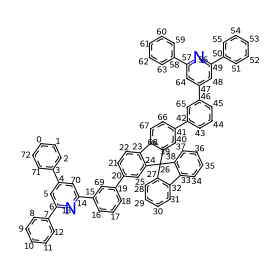 c1ccc(-c2cc(-c3ccccc3)nc(-c3cccc(-c4ccc5c(c4)C4(c6ccccc6-c6ccccc64)c4cc(-c6cccc(-c7cc(-c8ccccc8)nc(-c8ccccc8)c7)c6)ccc4-5)c3)c2)cc1